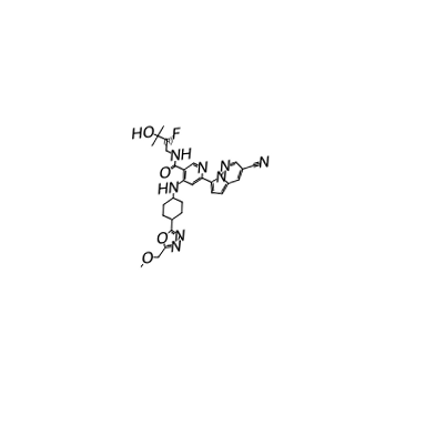 COCc1nnc(C2CCC(Nc3cc(-c4ccc5cc(C#N)cnn45)ncc3C(=O)NC[C@@H](F)C(C)(C)O)CC2)o1